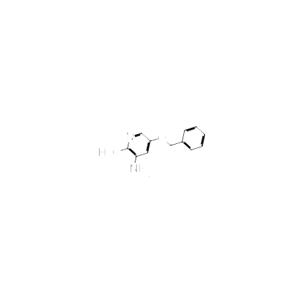 Cc1ncc(OCc2ccccc2)cc1N